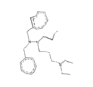 CCCN(CCCN(CC)CC)N(Cc1ccccc1)Cc1ccccc1